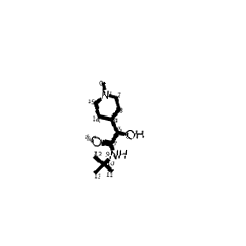 CN1CCC(C(O)C(=O)NC(C)(C)C)CC1